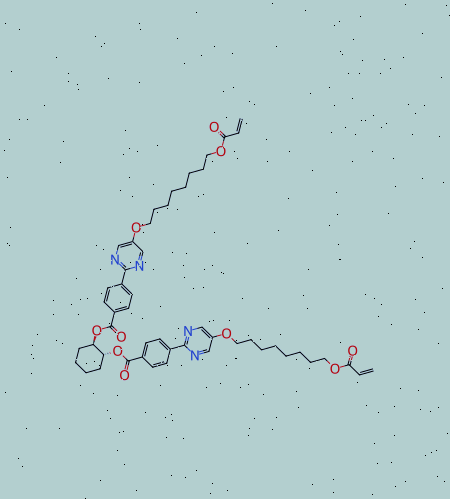 C=CC(=O)OCCCCCCCCOc1cnc(-c2ccc(C(=O)O[C@@H]3CCCC[C@H]3OC(=O)c3ccc(-c4ncc(OCCCCCCCCOC(=O)C=C)cn4)cc3)cc2)nc1